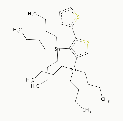 CCC[CH2][Sn]([CH2]CCC)([CH2]CCC)[c]1csc(-c2cccs2)[c]1[Sn]([CH2]CCC)([CH2]CCC)[CH2]CCC